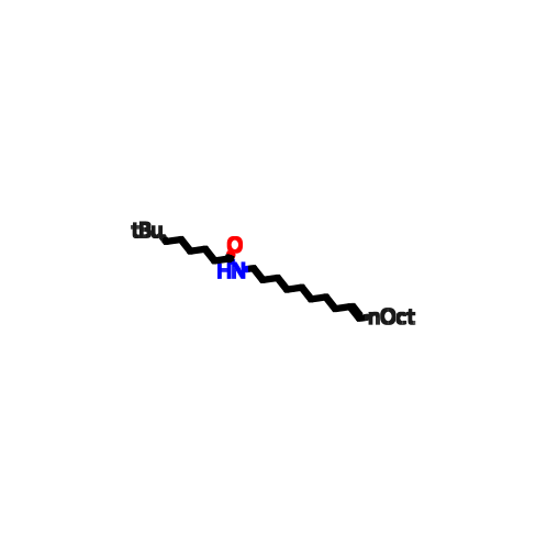 CCCCCCCCC=CCCCCCCCCNC(=O)CCCCCC(C)(C)C